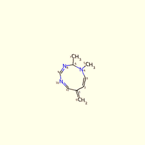 C=C1/C=C\N(C)C(C)/N=C\N=C/1